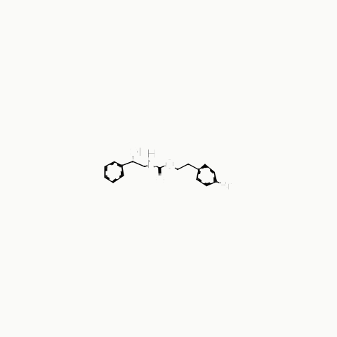 O=C(NC[C@H](O)c1ccccc1)OCCc1ccc(Br)cc1